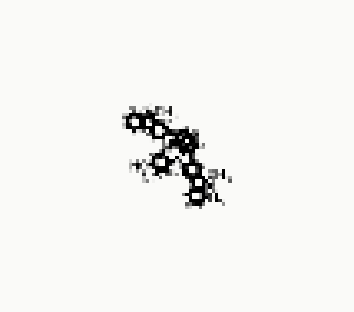 CC1(C)c2ccccc2-c2cc3c(cc21)c1ccccc1n3-c1cc(C#N)c(C#N)cc1-n1c2ccccc2c2cc3c(cc21)-c1ccccc1C3(C)C